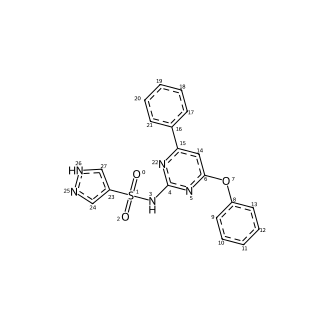 O=S(=O)(Nc1nc(Oc2ccccc2)cc(-c2ccccc2)n1)c1cn[nH]c1